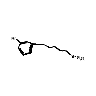 CCCCCCCCCCCCc1cccc(Br)c1